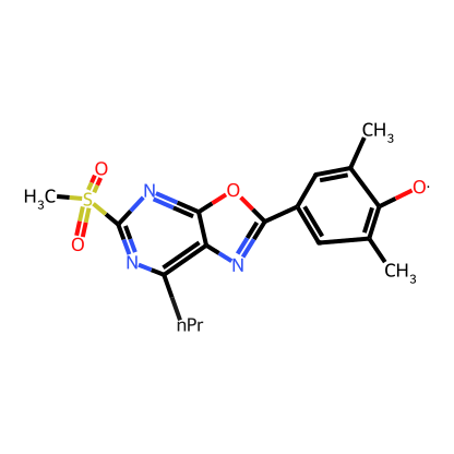 CCCc1nc(S(C)(=O)=O)nc2oc(-c3cc(C)c([O])c(C)c3)nc12